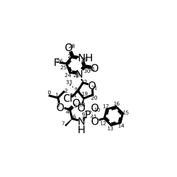 CC(C)OC(=O)[C@H](C)NP(=O)(Oc1ccccc1)O[C@@H]1CO[C@@H](n2cc(F)c(=O)[nH]c2=O)[C@]1(C)Cl